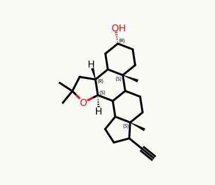 C#CC1CCC2C3C(CC[C@]12C)[C@@]1(C)CC[C@@H](O)CC1[C@H]1CC(C)(C)O[C@H]31